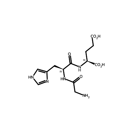 NCC(=O)N[C@@H](Cc1c[nH]cn1)C(=O)N[C@@H](CCC(=O)O)C(=O)O